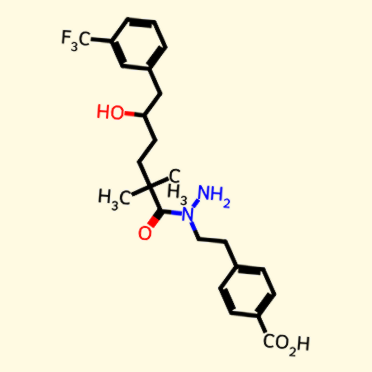 CC(C)(CCC(O)Cc1cccc(C(F)(F)F)c1)C(=O)N(N)CCc1ccc(C(=O)O)cc1